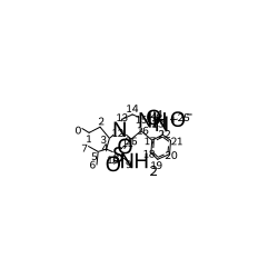 CCCC(C(C(C)C)S(N)(=O)=O)N1CCNC(c2ccccc2[N+](=O)[O-])C1